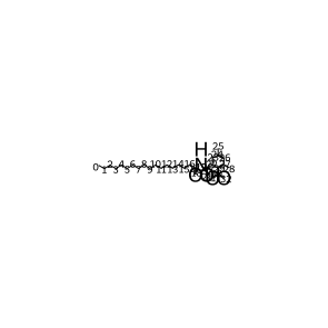 CCCCCCCCCCCCCCCCCC(=O)NC(=O)c1cc(C)cc(C)c1I(=O)=O